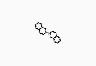 [CH]1c2ccccc2C=CN1N1[CH]c2ccccc2C=C1